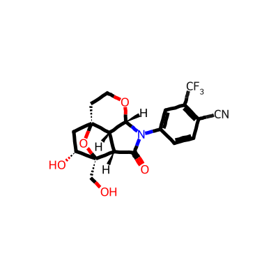 N#Cc1ccc(N2C(=O)[C@H]3[C@H]4[C@@H]2OCC[C@]42C[C@@H](O)[C@@]3(CO)O2)cc1C(F)(F)F